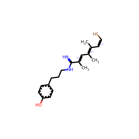 C\C(=C/C(C)=C(C)/C=C\S)C(=N)NCCCc1ccc(O)cc1